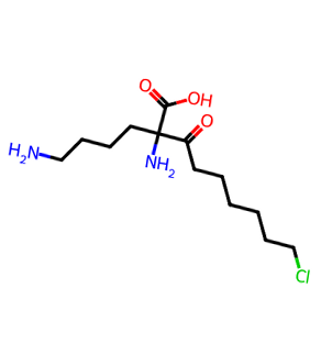 NCCCCC(N)(C(=O)O)C(=O)CCCCCCCl